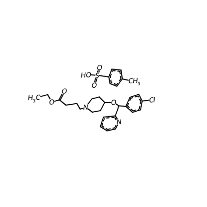 CCOC(=O)CCCN1CCC(OC(c2ccc(Cl)cc2)c2ccccn2)CC1.Cc1ccc(S(=O)(=O)O)cc1